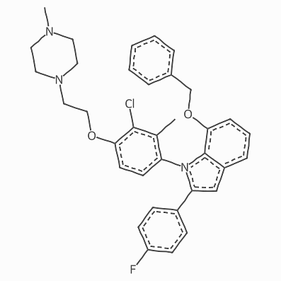 Cc1c(-n2c(-c3ccc(F)cc3)cc3cccc(OCc4ccccc4)c32)ccc(OCCN2CCN(C)CC2)c1Cl